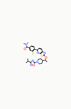 CC(C)c1noc(N2CCC(C(C)Oc3nc4ccc(-c5ccc(C(=O)N(C)C)cc5F)nc4s3)CC2)n1